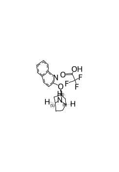 O=C(O)C(F)(F)F.c1ccc2nc(O[C@H]3C[C@H]4CC[C@@H](C3)N4)ccc2c1